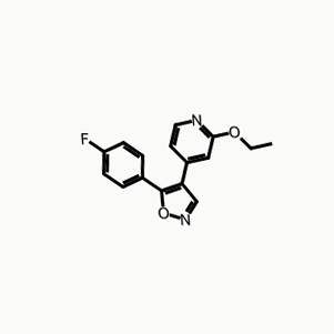 CCOc1cc(-c2cnoc2-c2ccc(F)cc2)ccn1